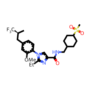 CCc1nc(C(=O)NCC2CCC(S(C)(=O)=O)CC2)cn1-c1ccc(C[C@H](C)C(F)(F)F)cc1OC